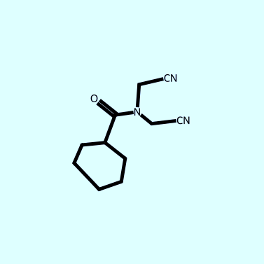 N#CCN(CC#N)C(=O)C1CCCCC1